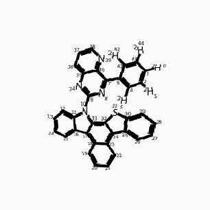 [2H]c1c([2H])c([2H])c(-c2nc(-n3c4ccccc4c4c5ccccc5c5c6ccccc6sc5c43)nc3cccnc23)c([2H])c1[2H]